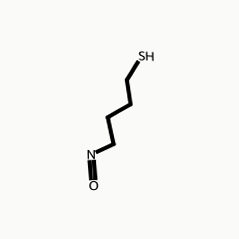 O=NCCCCS